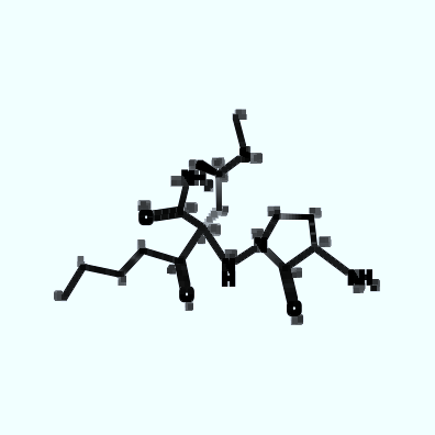 CCCCC(=O)[C@](C[C@@H](C)SC)(NN1CCC(N)C1=O)C(N)=O